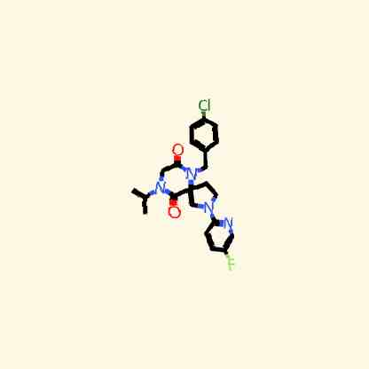 CC(C)N1CC(=O)N(Cc2ccc(Cl)cc2)C2(CCN(c3ccc(F)cn3)C2)C1=O